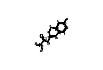 Cc1ccc2c(c1)CCC(CC(=O)N(C)C)=C2